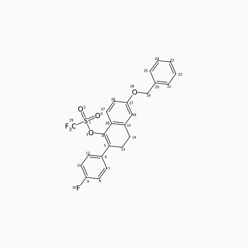 O=S(=O)(OC1=C(c2ccc(F)cc2)CCc2cc(OCc3ccccc3)ccc21)C(F)(F)F